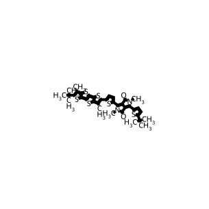 Cc1c(-c2ccc(C3=C4C(=O)N(C)C(c5ccc(C(C)(C)C)s5)=C4C(=O)N3C)s2)sc2c1sc1c3sc(C(C)(C)C)c(C)c3sc21